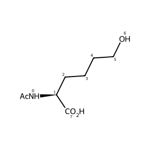 CC(=O)N[C@@H](CCCCO)C(=O)O